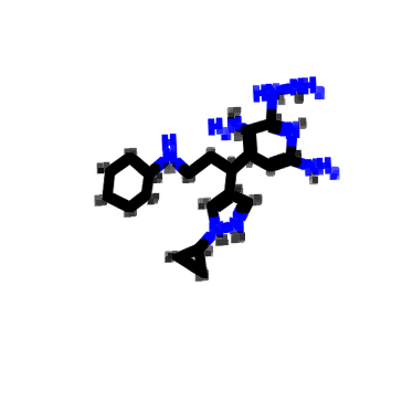 NNc1nc(N)cc(C(CCNC2CCCCC2)c2cnn(C3CC3)c2)c1N